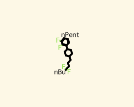 CCCCCc1ccc(C2CCC(CCCC(F)(F)CCCC)CC2)c(F)c1F